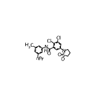 CCCc1cc(C)cc(NC(=O)c2cc(N3CCCS3(=O)=O)cc(Cl)c2Cl)c1